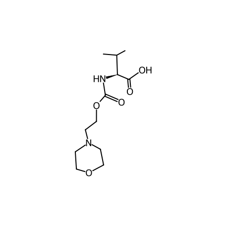 CC(C)[C@H](NC(=O)OCCN1CCOCC1)C(=O)O